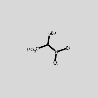 CCCCC(C(=O)O)N(CC)CC